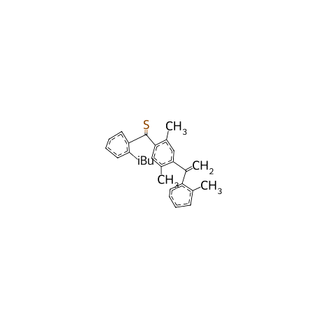 C=C(c1ccccc1C)c1cc(C)c(C(=S)c2ccccc2C(C)CC)cc1C